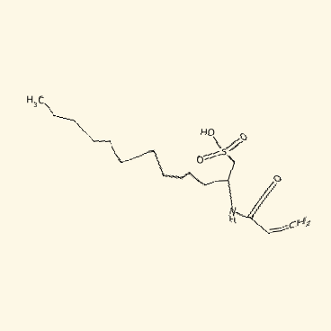 C=CC(=O)NC(CCCCCCCCCC)CS(=O)(=O)O